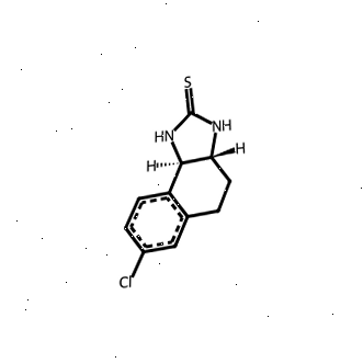 S=C1N[C@@H]2c3ccc(Cl)cc3CC[C@H]2N1